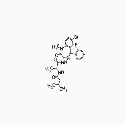 CC(C)CC(=O)N[C@@H](C)C(=O)NC1N=C(c2ccccc2F)c2cc(Br)ccc2N(C)C1=O